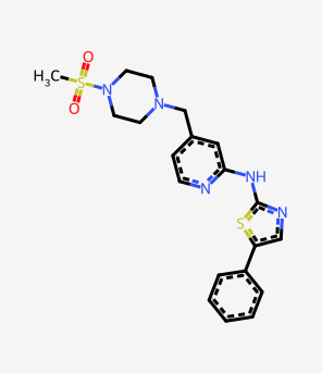 CS(=O)(=O)N1CCN(Cc2ccnc(Nc3ncc(-c4ccccc4)s3)c2)CC1